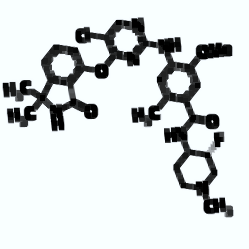 COc1cc(C(=O)NC2CCN(C)C[C@H]2F)c(C)cc1Nc1ncc(Cl)c(Oc2cccc3c2C(=O)NC3(C)C)n1